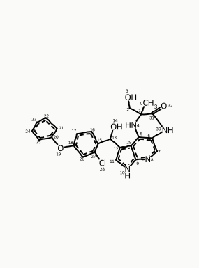 CC1(CO)Nc2c(cnc3[nH]cc(C(O)c4ccc(Oc5ccccc5)cc4Cl)c23)NC1=O